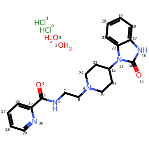 Cl.Cl.O.O.O=C(NCCN1CCC(n2c(=O)[nH]c3ccccc32)CC1)c1ccccn1